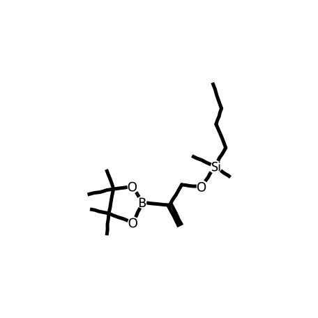 C=C(CO[Si](C)(C)CCCC)B1OC(C)(C)C(C)(C)O1